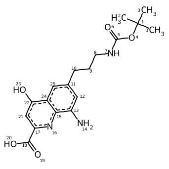 CC(C)(C)OC(=O)NCCCc1cc(N)c2nc(C(=O)O)cc(O)c2c1